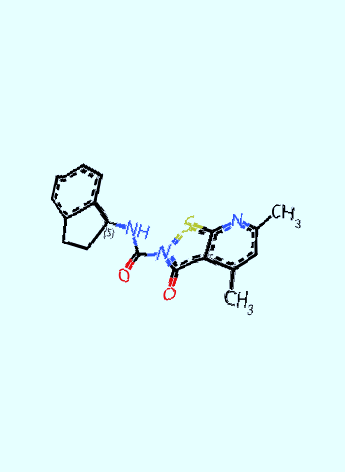 Cc1cc(C)c2c(=O)n(C(=O)N[C@H]3CCc4ccccc43)sc2n1